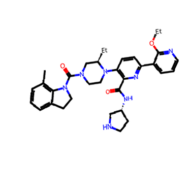 CCOc1ncccc1-c1ccc(N2CCN(C(=O)N3CCc4cccc(C)c43)C[C@H]2CC)c(C(=O)N[C@@H]2CCNC2)n1